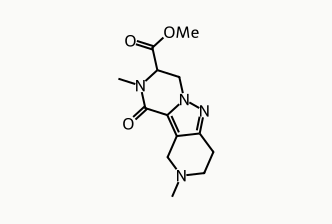 COC(=O)C1Cn2nc3c(c2C(=O)N1C)CN(C)CC3